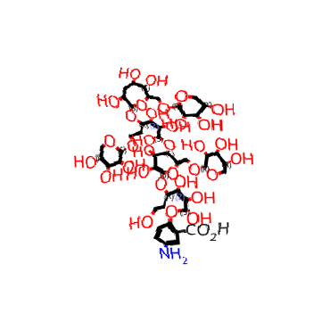 Nc1ccc(O[C@H](O)/C(O)=C(/O)[C@@H](CCO)O[C@@H]2OC(CO[C@H]3OC[C@@H](O)C(O)C3O)[C@@H](O[C@H](O)/C(O)=C(/O)[C@@H](CCO[C@H]3OC[C@@H](O)C(O)C3O)O[C@@H]3OC(CO[C@H]4OC[C@@H](O)C(O)C4O)[C@@H](O)C(O)CC3O)C(O)C2O)c(C(=O)O)c1